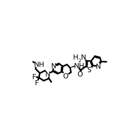 CNCC1CN(c2cc3c(cn2)C[C@@H](NC(=O)c2sc4nc(C)ccc4c2N)CO3)C(C)CC1(F)F